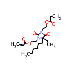 C=CC(=O)OCCN1C(=O)N(CCOC(=O)C=C)C(CC)(CCCCCC)C1=O